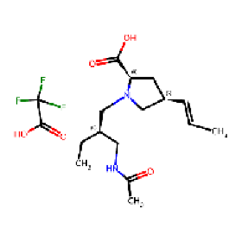 CC=C[C@@H]1C[C@H](C(=O)O)N(C[C@H](CC)CNC(C)=O)C1.O=C(O)C(F)(F)F